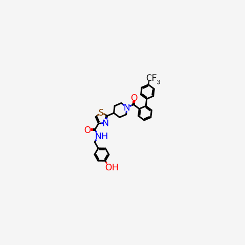 O=C(NCc1ccc(O)cc1)c1csc(C2CCN(C(=O)c3ccccc3-c3ccc(C(F)(F)F)cc3)CC2)n1